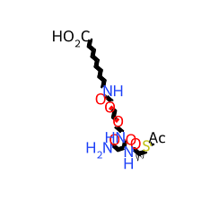 CC(=O)CSC[C@H](C)C(=O)NC(CC(N)=O)C(=O)NCCOCCOCC(=O)NCCCCCCCCCCC(=O)O